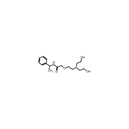 C[C@H](NC(=O)COCCN(CCO)CCO)c1ccccc1